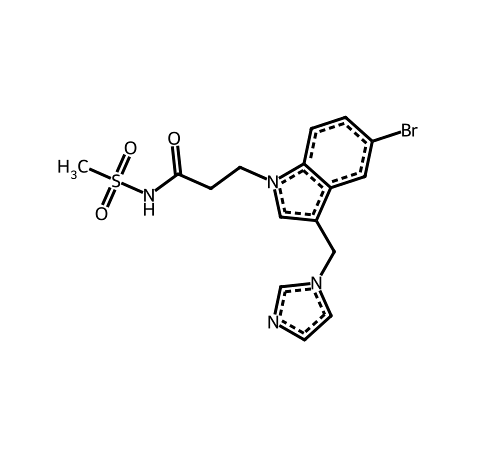 CS(=O)(=O)NC(=O)CCn1cc(Cn2ccnc2)c2cc(Br)ccc21